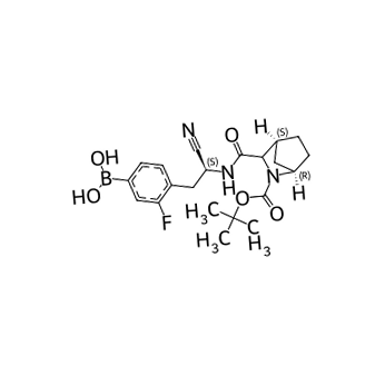 CC(C)(C)OC(=O)N1C(C(=O)N[C@H](C#N)Cc2ccc(B(O)O)cc2F)[C@H]2CC[C@@H]1C2